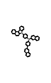 c1ccc2cc(-c3ccc(N(c4ccc(-n5c6ccccc6c6c7ccccc7ccc65)cc4)c4ccc5ccccc5c4)cc3)ccc2c1